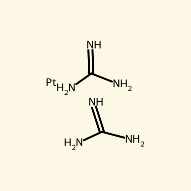 N=C(N)N.N=C(N)N.[Pt]